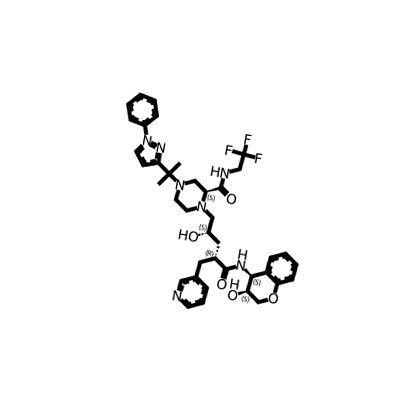 CC(C)(c1ccn(-c2ccccc2)n1)N1CCN(C[C@@H](O)C[C@@H](Cc2cccnc2)C(=O)N[C@H]2c3ccccc3OC[C@H]2O)[C@H](C(=O)NCC(F)(F)F)C1